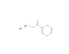 CC(CN=C=O)C1CCCCC1